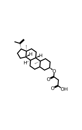 C=C(C)[C@H]1CC[C@H]2[C@@H]3CCC4C[C@H](OC(=O)CC(=O)O)CC[C@]4(C)[C@H]3CC[C@]12C